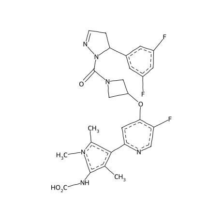 Cc1c(-c2cc(OC3CN(C(=O)N4N=CCC4c4cc(F)cc(F)c4)C3)c(F)cn2)c(C)n(C)c1NC(=O)O